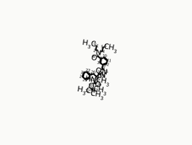 CCCN(CCC)C(=O)c1cccc(-c2nnc([C@@](C)(Cc3ccccc3)NC(=O)OC(C)(C)C)o2)c1